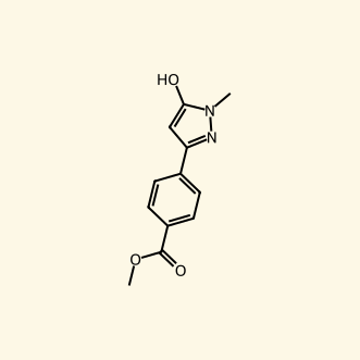 COC(=O)c1ccc(-c2cc(O)n(C)n2)cc1